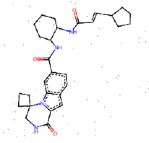 O=C(/C=C/C1CCCC1)NC1CCCCC1NC(=O)c1ccc2cc3n(c2c1)C1(CCC1)CNC3=O